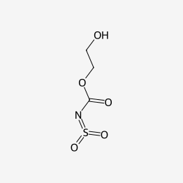 O=C(N=S(=O)=O)OCCO